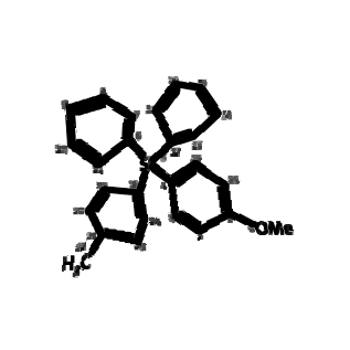 COc1ccc([Si](c2ccccc2)(c2ccccc2)c2ccc(C)cc2)cc1